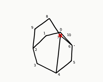 C1CC2CC3C[C]1CC(C2)C3